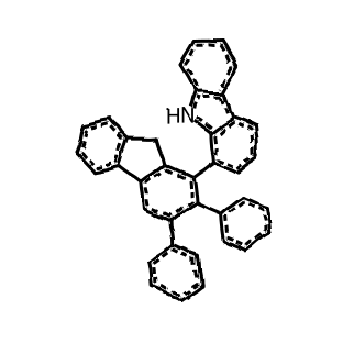 c1ccc(-c2cc3c(c(-c4cccc5c4[nH]c4ccccc45)c2-c2ccccc2)Cc2ccccc2-3)cc1